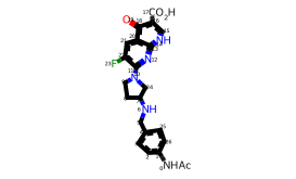 CC(=O)Nc1ccc(CNC2CCN(c3nc4[nH]cc(C(=O)O)c(=O)c4cc3F)C2)cc1